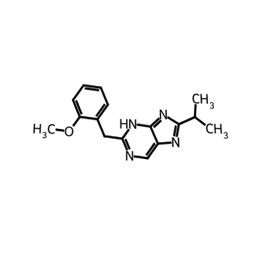 COc1ccccc1Cc1ncc2nc(C(C)C)nc-2[nH]1